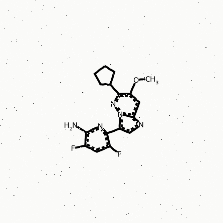 COc1cc2ncc(-c3nc(N)c(F)cc3F)n2nc1C1CCCC1